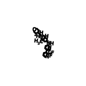 [2H]C([2H])(C1CCOCC1)N1C[C@H]2C[C@H](Nc3ccc(-c4cccnc4C(F)(F)F)nn3)C[C@@]2(C)C1